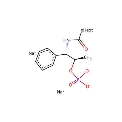 CCCCCCCC(=O)N[C@@H](c1ccccc1)[C@@H](C)OP(=O)([O-])[O-].[Na+].[Na+]